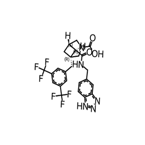 O=C(NCc1ccc2[nH]nnc2c1)[C@@H]1[C@H]2CN(C(=O)O)C[C@@]1(Cc1cc(C(F)(F)F)cc(C(F)(F)F)c1)C2